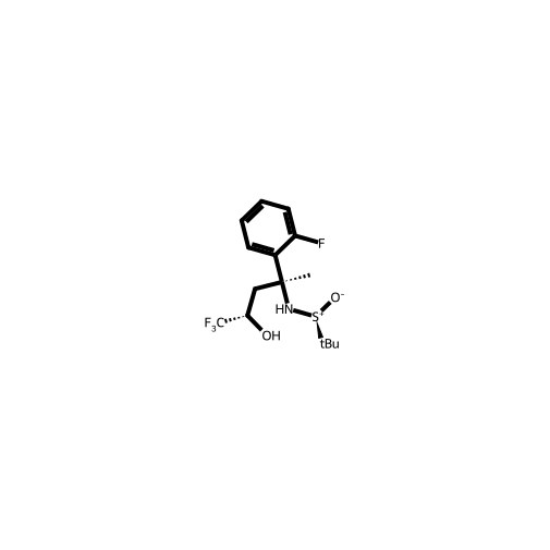 CC(C)(C)[S@+]([O-])N[C@@](C)(C[C@H](O)C(F)(F)F)c1ccccc1F